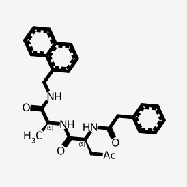 CC(=O)C[C@H](NC(=O)Cc1ccccc1)C(=O)N[C@@H](C)C(=O)NCc1cccc2ccccc12